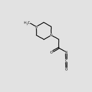 CN1CCN(CC(=O)N=C=O)CC1